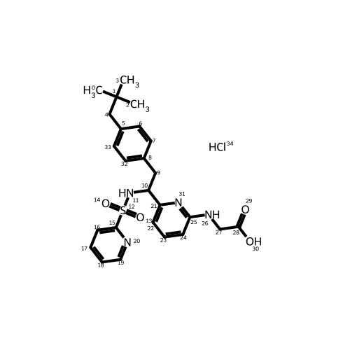 CC(C)(C)Cc1ccc(CC(NS(=O)(=O)c2ccccn2)c2cccc(NCC(=O)O)n2)cc1.Cl